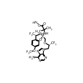 CCCOC(=O)C(C)(C)NP(=O)(CO[C@@H](Cn1cnc2c(N)ncnc21)C(F)(F)F)N[C@H](c1ccc(OC(F)(F)F)cc1)C(F)(F)F